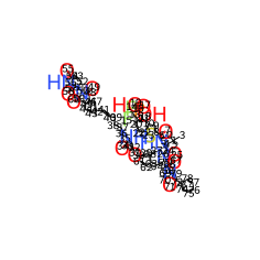 CC(C)(C)C(NC(=O)c1cc2cc(C(F)(F)P(=O)(O)O)ccc2s1)C(=O)N1Cc2cc(OCC(=O)NCCCCC#Cc3ccc4c(c3)C(=O)N(C3CCC(=O)NC3=O)C4=O)ccc2C[C@H]1C(=O)N1CCO[C@H](c2ccccc2)C1